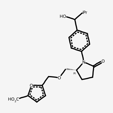 CC(C)C(O)c1ccc(N2C(=O)CC[C@@H]2COCc2ccc(C(=O)O)o2)cc1